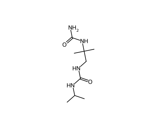 CC(C)NC(=O)NCC(C)(C)NC(N)=O